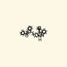 CN(CC(CCN1CCC(Nc2nc3ccccc3n2Cc2ccoc2)CC1)c1ccccc1)C(=O)c1ccccc1